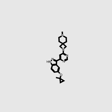 CN1CCC2(CC1)CN(c1cc(-c3n[nH]c4ccc(OC5(C)CC5)cc34)ncn1)C2